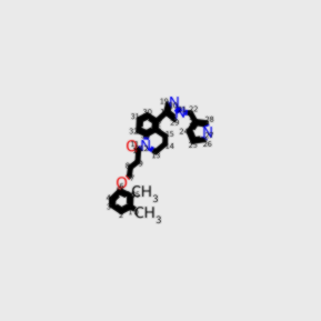 Cc1cccc(OCCCC(=O)N2CCCc3c(-c4cnn(Cc5cccnc5)c4)cccc32)c1C